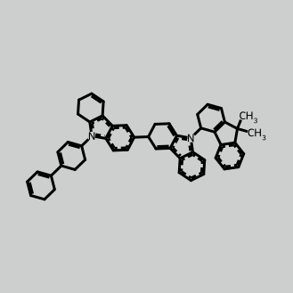 CC1(C)C2=C(c3ccccc31)C(n1c3c(c4ccccc41)=CC(c1ccc4c(c1)c1c(n4C4=CC=C(C5=CC=CCC5)CC4)CCC=C1)CC=3)CC=C2